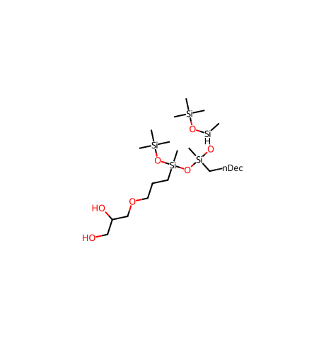 CCCCCCCCCCC[Si](C)(O[SiH](C)O[Si](C)(C)C)O[Si](C)(CCCOCC(O)CO)O[Si](C)(C)C